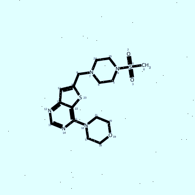 CS(=O)(=O)N1CCN(Cc2cc3ncnc(N4CCOCC4)c3s2)CC1